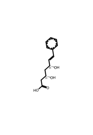 O=C(O)C[C@@H](O)C[C@@H](O)C=Cc1ccccc1